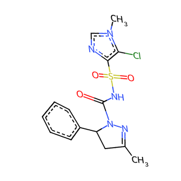 CC1=NN(C(=O)NS(=O)(=O)c2ncn(C)c2Cl)C(c2ccccc2)C1